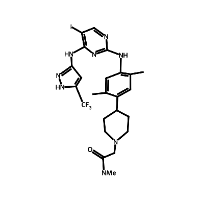 CNC(=O)CN1CCC(c2cc(C)c(Nc3ncc(I)c(Nc4cc(C(F)(F)F)[nH]n4)n3)cc2C)CC1